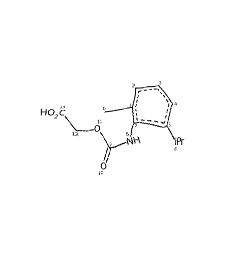 Cc1cccc(C(C)C)c1NC(=O)OCC(=O)O